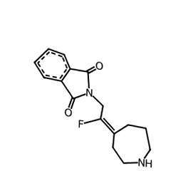 O=C1c2ccccc2C(=O)N1C/C(F)=C1\CCCNCC1